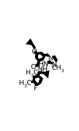 Cc1cc([C@@](C)(NC(=O)c2cc(Cn3ccn(C)c3=N)cc(OCC3CC3)c2)C2CC2)ccc1F